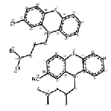 CC(CN(C)C)CN1c2ccccc2Sc2ccc(C#N)cc21.CCN(CC)CCCN1c2ccccc2Sc2ccc(Cl)cc21